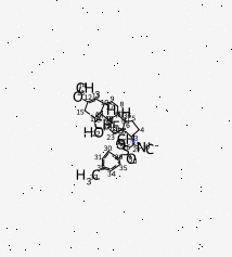 [C-]#[N+]/C(=C1\CC[C@H]2[C@@H]3CC=C4C=C(OC)CC[C@]4(C)[C@@]3(F)[C@@H](O)C[C@]12C)S(=O)(=O)c1ccc(C)cc1